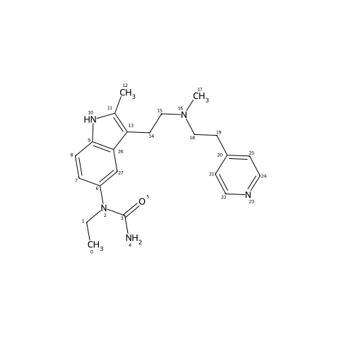 CCN(C(N)=O)c1ccc2[nH]c(C)c(CCN(C)CCc3ccncc3)c2c1